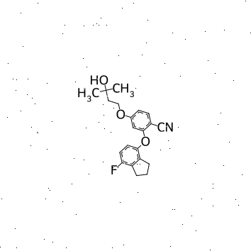 CC(C)(O)CCOc1ccc(C#N)c(Oc2ccc(F)c3c2CCC3)c1